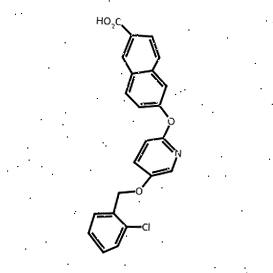 O=C(O)c1ccc2cc(Oc3ccc(OCc4ccccc4Cl)cn3)ccc2c1